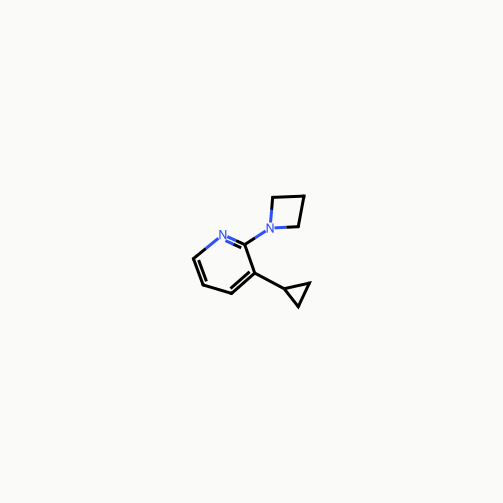 c1cnc(N2CCC2)c(C2CC2)c1